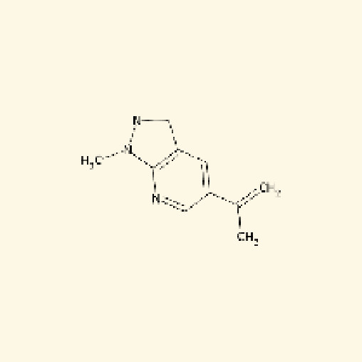 C=C(C)c1cnc2c(cnn2C)c1